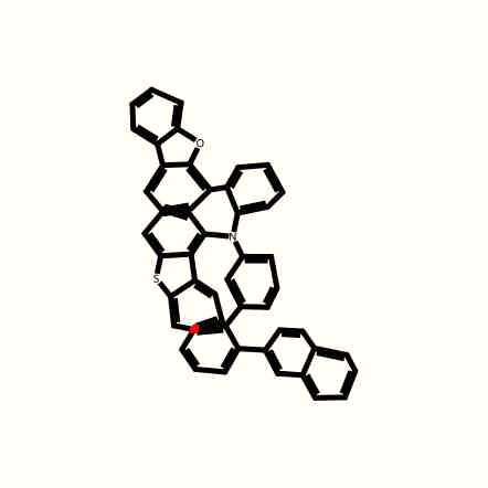 c1cc(-c2ccccc2-c2ccc3ccccc3c2)cc(N(c2ccccc2-c2cccc3c2oc2ccccc23)c2cccc3sc4ccccc4c23)c1